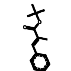 C/C(=C\c1ccccc1)C(=O)OC(C)(C)C